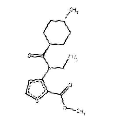 CCN(c1ccsc1C(=O)OC)C(=O)[C@H]1CC[C@H](C)CC1